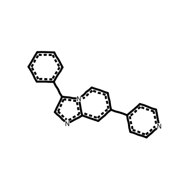 c1ccc(-c2cnc3cc(-c4ccncc4)ccn23)cc1